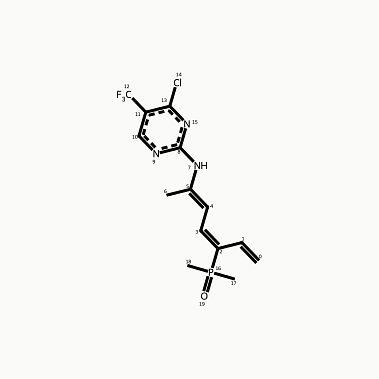 C=C/C(=C\C=C(/C)Nc1ncc(C(F)(F)F)c(Cl)n1)P(C)(C)=O